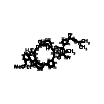 CCn1c(-c2cnccc2COC)c2c3cc(ccc31)-c1cccc(c1)C[C@H](NC(=O)C(C(C)C)N(C)C(=O)[C@H]1CCN(C(=O)C#CN(C)C)C1)C(=O)N1CCC[C@H](N1)C(=O)OCC(C)(C)C2